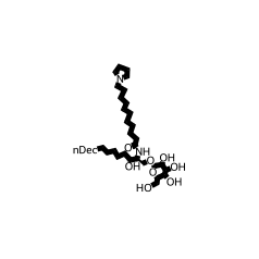 CCCCCCCCCCCCCCC[C@@H](O)[C@H](COC1OC(CO)C(O)C(O)C1O)NC(=O)CCCCCCCCCCN1CCCC1